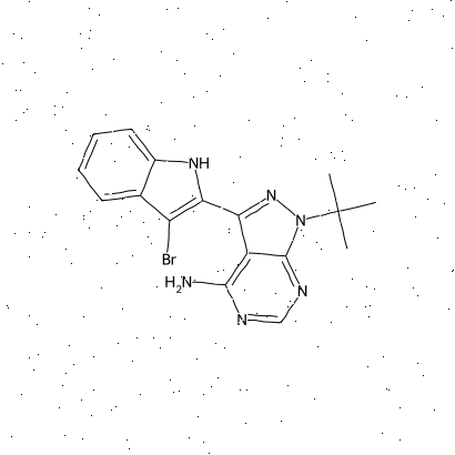 CC(C)(C)n1nc(-c2[nH]c3ccccc3c2Br)c2c(N)ncnc21